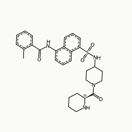 Cc1ccccc1C(=O)Nc1cccc2c(S(=O)(=O)NC3CCN(C(=O)[C@@H]4CCCCN4)CC3)cccc12